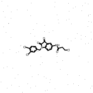 O=C(CCCl)Nc1ccc2c(c1)C(=O)C(=O)N2Cc1ccc(Cl)c(Cl)c1